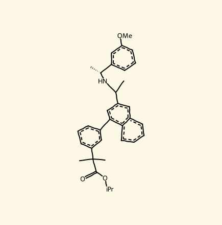 COc1cccc([C@@H](C)NC(C)c2cc(-c3cccc(C(C)(C)C(=O)OC(C)C)c3)c3ccccc3c2)c1